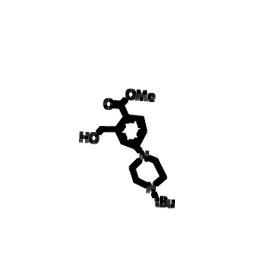 COC(=O)c1ccc(N2CCN(C(C)(C)C)CC2)cc1CO